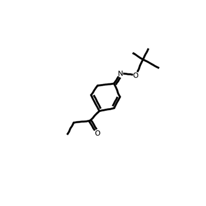 CCC(=O)C1=CCC(=NOC(C)(C)C)C=C1